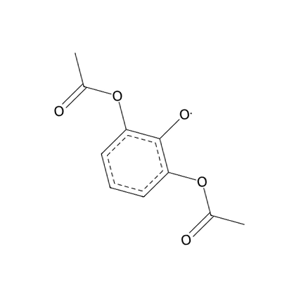 CC(=O)Oc1cccc(OC(C)=O)c1[O]